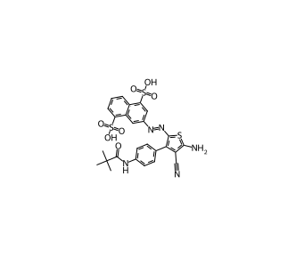 CC(C)(C)C(=O)Nc1ccc(-c2c(/N=N/c3cc(S(=O)(=O)O)c4cccc(S(=O)(=O)O)c4c3)sc(N)c2C#N)cc1